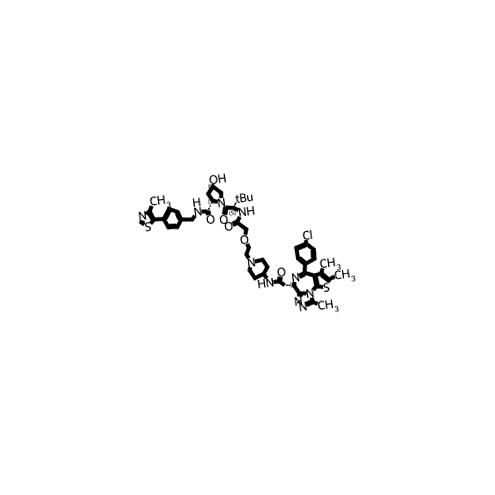 Cc1ncsc1-c1ccc(CNC(=O)[C@@H]2C[C@@H](O)CN2C(=O)[C@@H](NC(=O)COCCN2CCC(NC(=O)C[C@@H]3N=C(c4ccc(Cl)cc4)c4c(sc(C)c4C)-n4c(C)nnc43)CC2)C(C)(C)C)cc1